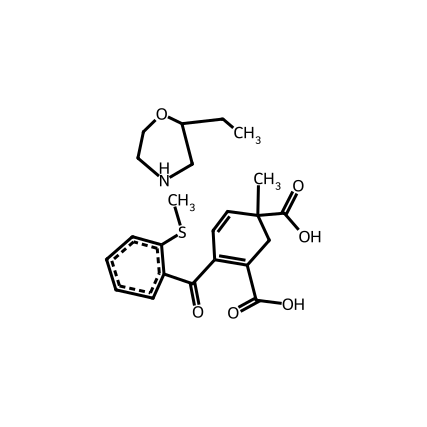 CCC1CNCCO1.CSc1ccccc1C(=O)C1=C(C(=O)O)CC(C)(C(=O)O)C=C1